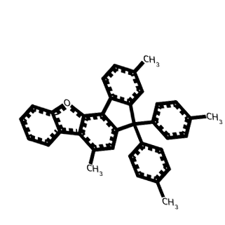 Cc1ccc(C2(c3ccc(C)cc3)c3cc(C)ccc3-c3c2cc(C)c2c3oc3ccccc32)cc1